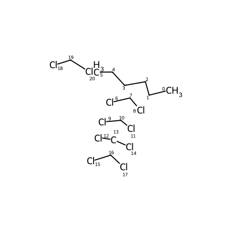 CCCCCC.ClCCl.ClCCl.ClCCl.ClCCl.ClCCl